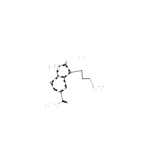 CCOC(=O)c1[nH]c2ccc(C(N)=O)cc2c1CCCNC